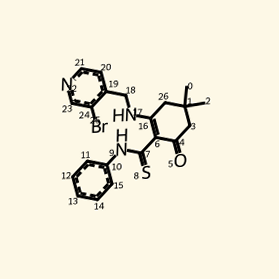 CC1(C)CC(=O)C(C(=S)Nc2ccccc2)=C(NCc2ccncc2Br)C1